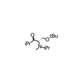 CC(C)C(=O)[C@H](COC(C)(C)C)N(C)C(C)C